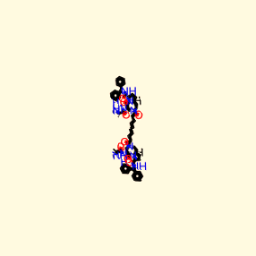 CN[C@@H](C)C(=O)N[C@H]1CN(C(=O)CCCCCCCCC(=O)N2CC[C@H]3CC[C@@H](C(=O)NC(c4ccccc4)c4ccccc4)N3C(=O)[C@@H](NC(=O)[C@H](C)NC)C2)CC[C@H]2CCC(C(=O)NC(c3ccccc3)c3ccccc3)N2C1=O